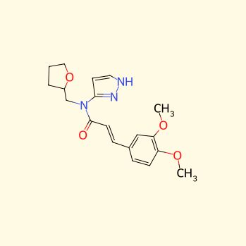 COc1ccc(/C=C/C(=O)N(CC2CCCO2)c2cc[nH]n2)cc1OC